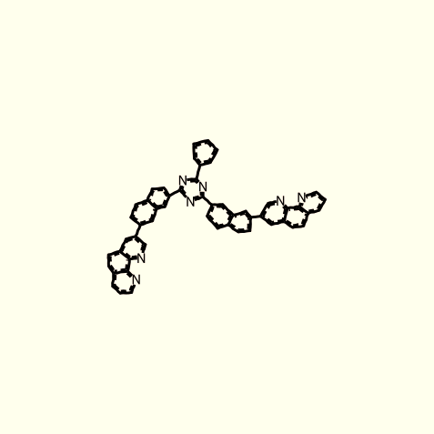 c1ccc(-c2nc(-c3ccc4ccc(-c5cnc6c(ccc7cccnc76)c5)cc4c3)nc(-c3ccc4ccc(-c5cnc6c(ccc7cccnc76)c5)cc4c3)n2)cc1